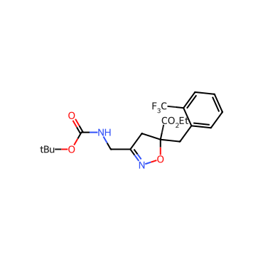 CCOC(=O)C1(Cc2ccccc2C(F)(F)F)CC(CNC(=O)OC(C)(C)C)=NO1